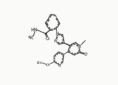 CCOc1ccc(-c2cc(=O)n(C)cc2-c2cnn(-c3ccccc3C(=O)NC#N)c2)cn1